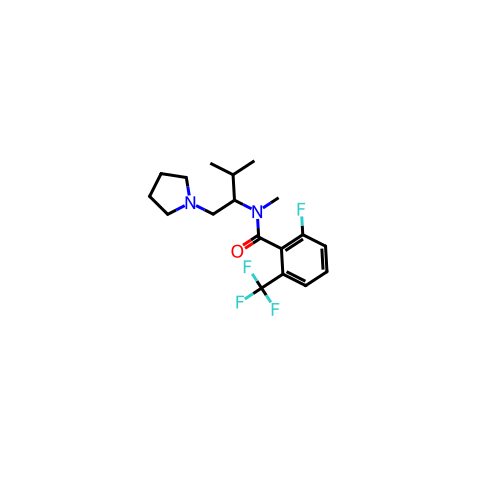 CC(C)C(CN1CCCC1)N(C)C(=O)c1c(F)cccc1C(F)(F)F